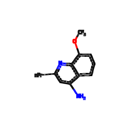 CCCc1cc(N)c2cccc(OC(F)(F)F)c2n1